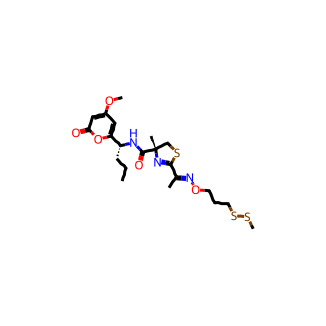 CCC[C@@H](NC(=O)[C@]1(C)CSC(/C(C)=N/OCCCSSC)=N1)c1cc(OC)cc(=O)o1